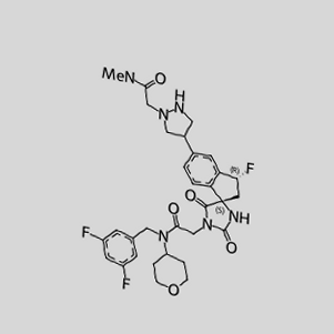 CNC(=O)CN1CC(c2ccc3c(c2)[C@H](F)C[C@]32NC(=O)N(CC(=O)N(Cc3cc(F)cc(F)c3)C3CCOCC3)C2=O)CN1